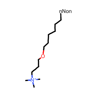 CCCCCCCCCCCCCCCOCCC[N+](C)(C)C